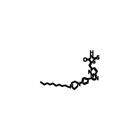 CCCCCCCCCCN1CCN(c2ccc(-c3cnc4ccc(/C=C5\SC(=S)NC5=O)nn34)cc2)CC1